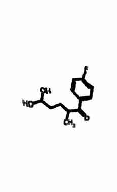 CC(CCC(O)O)C(=O)c1ccc(F)cc1